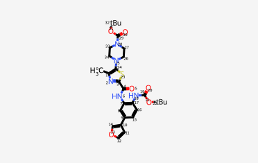 Cc1nc(C(=O)Nc2cc(-c3ccoc3)ccc2NC(=O)OC(C)(C)C)sc1N1CCN(C(=O)OC(C)(C)C)CC1